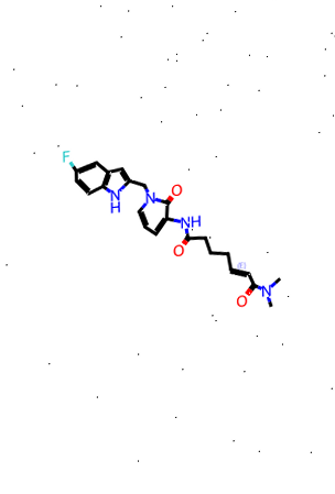 CN(C)C(=O)/C=C/CC[CH]C(=O)Nc1cccn(Cc2cc3cc(F)ccc3[nH]2)c1=O